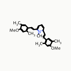 COc1cc(C)c(/C=C/c2cccc(/C=C/c3cc(C)c(OC)cc3C)[n+]2C)cc1C